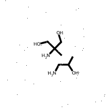 CC(N)(CO)CO.CC(O)CN